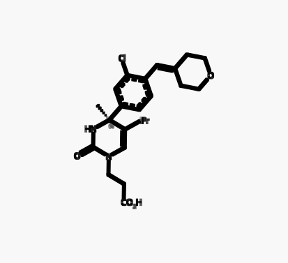 CC(C)C1=CN(CCC(=O)O)C(=O)N[C@@]1(C)c1ccc(C=C2CCOCC2)c(Cl)c1